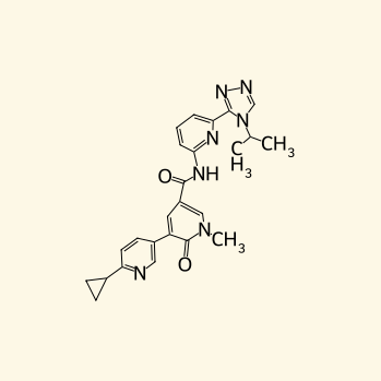 CC(C)n1cnnc1-c1cccc(NC(=O)c2cc(-c3ccc(C4CC4)nc3)c(=O)n(C)c2)n1